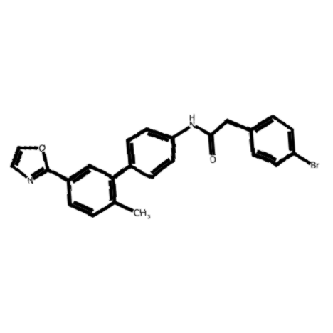 Cc1ccc(-c2ncco2)cc1-c1ccc(NC(=O)Cc2ccc(Br)cc2)cc1